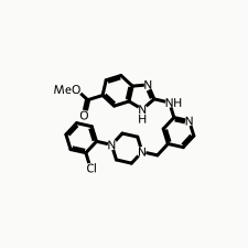 COC(=O)c1ccc2nc(Nc3cc(CN4CCN(c5ccccc5Cl)CC4)ccn3)[nH]c2c1